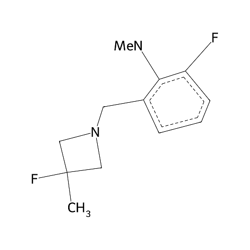 CNc1c(F)cccc1CN1CC(C)(F)C1